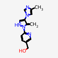 C=C1C(n2cnc(C)c2)=CNN1c1ccc(CO)cn1